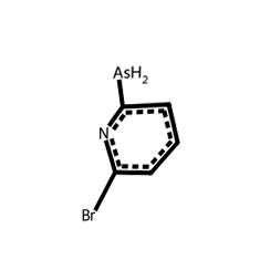 [AsH2]c1cccc(Br)n1